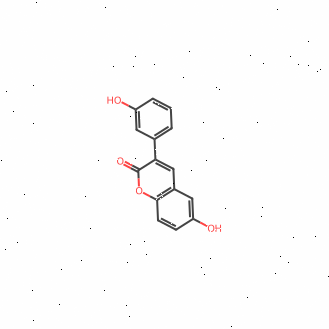 O=c1oc2ccc(O)cc2cc1-c1cccc(O)c1